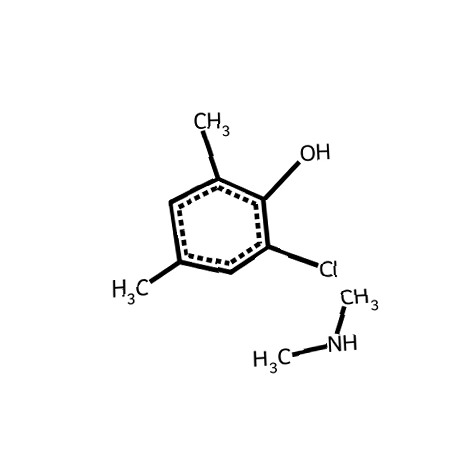 CNC.Cc1cc(C)c(O)c(Cl)c1